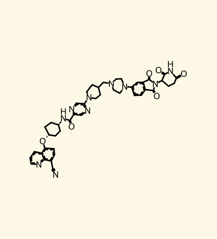 N#Cc1ccc(O[C@H]2CC[C@H](NC(=O)c3cnc(N4CCC(CN5CCN(c6ccc7c(c6)C(=O)N(C6CCC(=O)NC6=O)C7=O)CC5)CC4)cn3)CC2)c2cccnc12